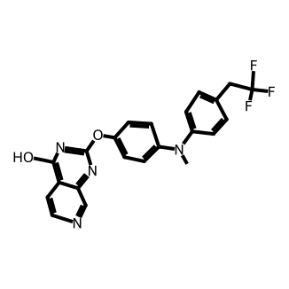 CN(c1ccc(CC(F)(F)F)cc1)c1ccc(Oc2nc(O)c3ccncc3n2)cc1